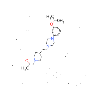 CC(=O)CN1CCC(CCN2CCN(c3cccc(OC(C)C)c3)CC2)CC1